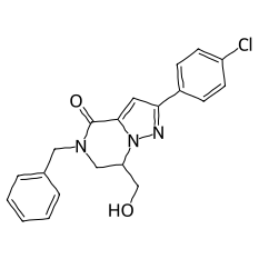 O=C1c2cc(-c3ccc(Cl)cc3)nn2C(CO)CN1Cc1ccccc1